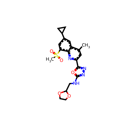 Cc1cc(-c2nnc(NCC3OCCO3)o2)nc2c(S(C)(=O)=O)cc(C3CC3)cc12